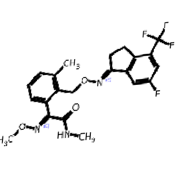 CNC(=O)/C(=N/OC)c1cccc(C)c1CO/N=C1\CCc2c1cc(F)cc2C(F)(F)F